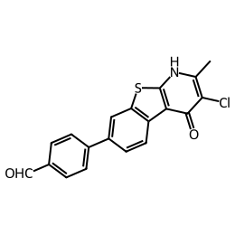 Cc1[nH]c2sc3cc(-c4ccc(C=O)cc4)ccc3c2c(=O)c1Cl